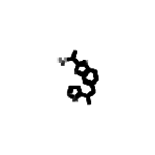 CC(Cc1ccc2nc(C(C)P)sc2c1)C1=NN=CC1